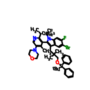 CO[C@@H](C)c1ncc(N2CCOCC2)c(C)c1-c1c(CC(C)(C)CO[Si](c2ccccc2)(c2ccccc2)C(C)(C)C)c2cc(Br)c(F)cc2n1CC(F)(F)F